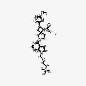 COc1nsc(C2CC3(CCN(c4ncnc5c4ccn5COCC[Si](C)(C)C)C3)N2C(N)=O)n1